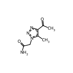 CC(=O)c1nnn(CC(N)=O)c1C